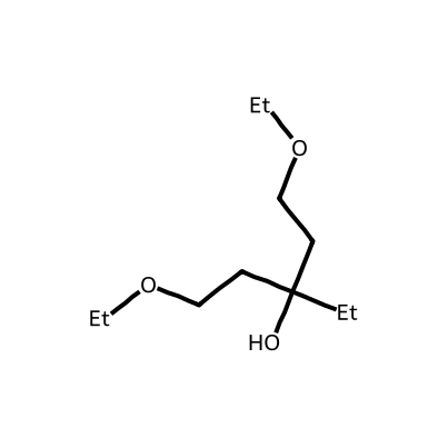 [CH2]CC(O)(CCOCC)CCOCC